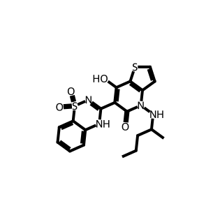 CCCC(C)Nn1c(=O)c(C2=NS(=O)(=O)c3ccccc3N2)c(O)c2sccc21